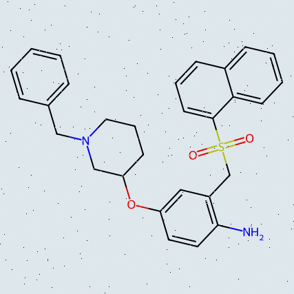 Nc1ccc(OC2CCCN(Cc3ccccc3)C2)cc1CS(=O)(=O)c1cccc2ccccc12